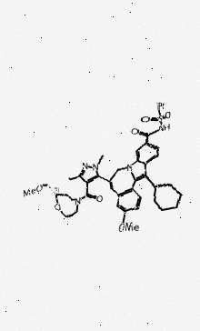 COC[C@@H]1CN(C(=O)c2c(C)nn(C)c2C2=Cc3cc(OC)ccc3-c3c(C4CCCCC4)c4ccc(C(=O)NS(=O)(=O)C(C)C)cc4n3C2)CCO1